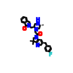 C[C@@H]1CN(CC(=O)N2CC(C)(C)c3ncc(Cc4ccc(F)cc4)cc32)[C@@H](CN2Cc3ccccc3C2=O)CN1